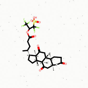 CC(CCC(=O)OC(C(F)(F)F)C(F)(F)S(=O)(=O)O)[C@H]1CC[C@H]2[C@@H]3C(=O)C[C@]4(C)CC(=O)CC[C@]4(C)[C@H]3CC(=O)[C@]12C